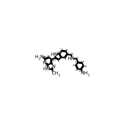 Cc1nc2c(-c3cc4cc(CNCc5ccc(N)cc5)ccc4[nH]3)cc(N)nc2[nH]1